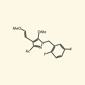 COC=Cc1c(C(C)=O)nn(Cc2cc(F)ccc2F)c1OC